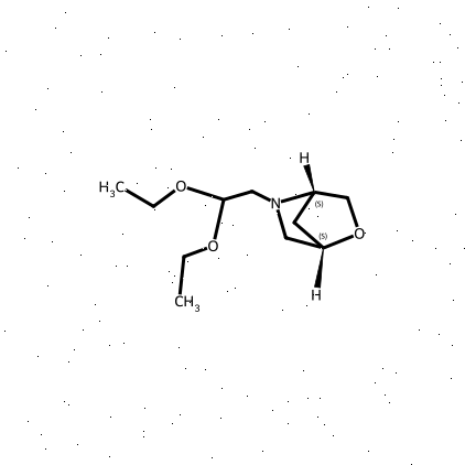 CCOC(CN1C[C@@H]2C[C@H]1CO2)OCC